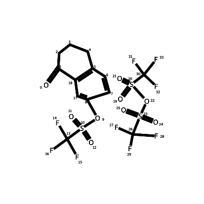 O=C1CCCc2ccc(OS(=O)(=O)C(F)(F)F)cc21.O=S(=O)(OS(=O)(=O)C(F)(F)F)C(F)(F)F